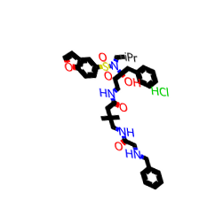 CC(C)CN(C(O)(CCNC(=O)CC(C)(C)CNC(=O)CNCc1ccccc1)Cc1ccccc1)S(=O)(=O)c1ccc2occc2c1.Cl